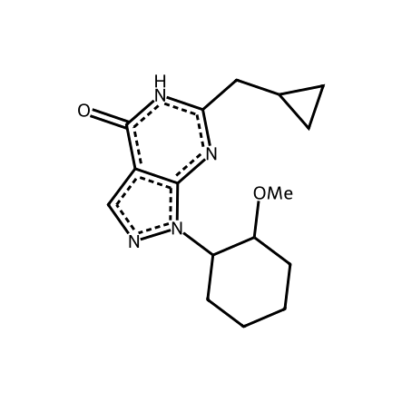 COC1CCCCC1n1ncc2c(=O)[nH]c(CC3CC3)nc21